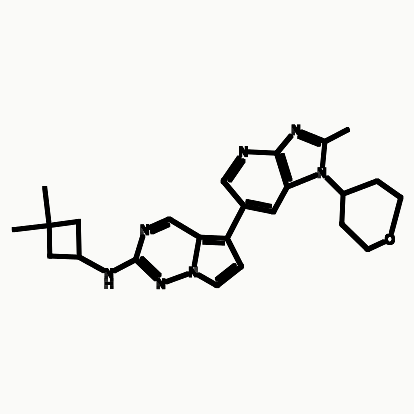 Cc1nc2ncc(-c3ccn4nc(NC5CC(C)(C)C5)ncc34)cc2n1C1CCOCC1